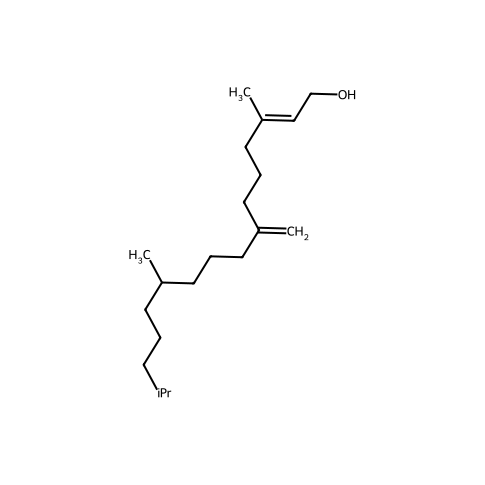 C=C(CCCC(C)=CCO)CCCC(C)CCCC(C)C